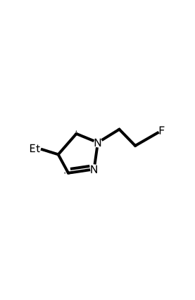 CCC1[C]=NN(CCF)[CH]1